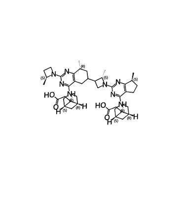 C[C@@H]1CC(C2CN(c3nc4c(c(N5C[C@H]6C[C@@H](C5)[C@@H]6CC(=O)O)n3)CC[C@@H]4C)[C@H]2C)Cc2c1nc(N1CC[C@@H]1C)nc2N1C[C@H]2C[C@@H](C1)[C@@H]2CC(=O)O